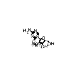 Nc1ncn([C@@H]2O[C@H](CO)[C@@H](O)[C@H]2O)c(=O)n1.[PbH2]